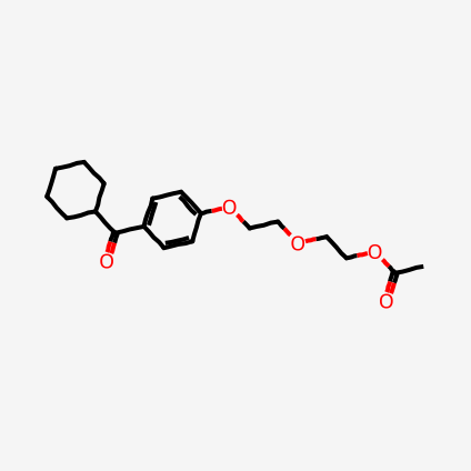 CC(=O)OCCOCCOc1ccc(C(=O)C2CCCCC2)cc1